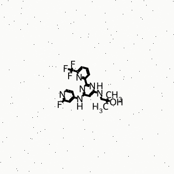 CC(C)(O)CNc1cc(Nc2ccnc(F)c2)nc(-c2cccc(C(F)(F)F)n2)n1